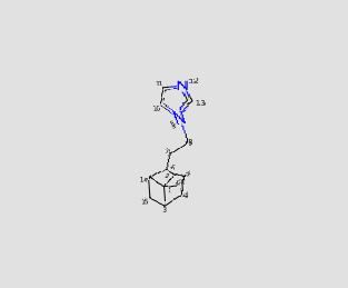 CC1(C)C2CCC(CCn3ccnc3)C1C2